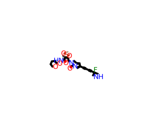 C[C@@](CCN1Cc2cc(C#CC#CC3(F)CNC3)cn2C1=O)(C(=O)NOC1CCCCO1)S(C)(=O)=O